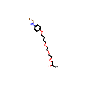 CC(C)C(=O)COCCOCCOCCCCOc1ccc(NSS)cc1